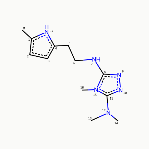 Cc1ccc(CCNc2nnc(N(C)C)n2C)[nH]1